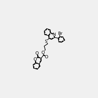 O=C(OCCCSc1cc(-c2ccccc2Br)nc2ccccc12)c1cc2ccccc2oc1=O